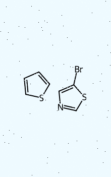 Brc1cncs1.c1ccsc1